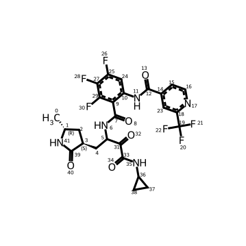 C[C@@H]1C[C@@H](CC(NC(=O)c2c(NC(=O)c3ccnc(C(F)(F)F)c3)cc(F)c(F)c2F)C(=O)C(=O)NC2CC2)C(=O)N1